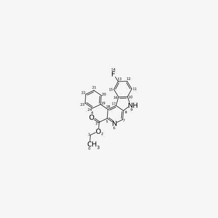 CCOC(=O)c1ncc2[nH]c3ccc(F)cc3c2c1-c1ccccc1